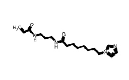 C=CC(=O)NCCCNC(=O)CCCCCCCn1ccnc1